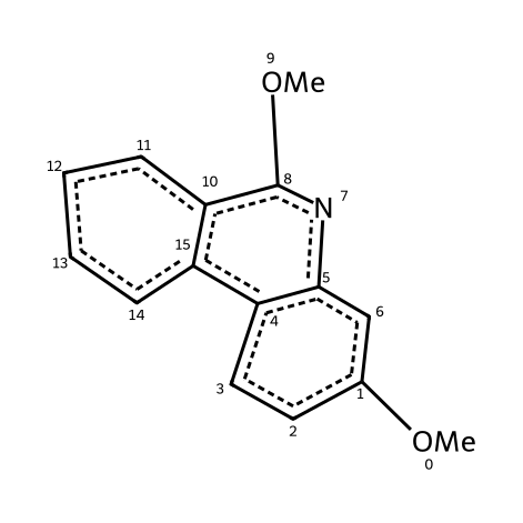 COc1ccc2c(c1)nc(OC)c1ccccc12